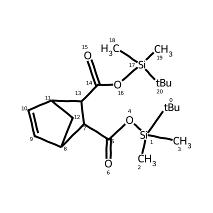 CC(C)(C)[Si](C)(C)OC(=O)C1C2C=CC(C2)C1C(=O)O[Si](C)(C)C(C)(C)C